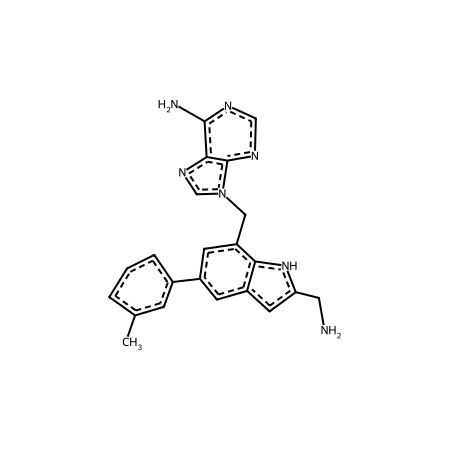 Cc1cccc(-c2cc(Cn3cnc4c(N)ncnc43)c3[nH]c(CN)cc3c2)c1